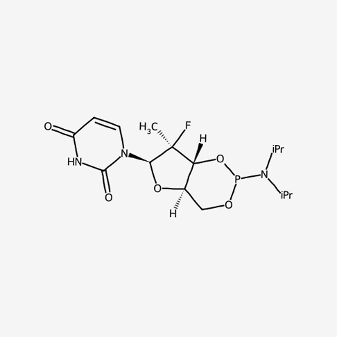 CC(C)N(C(C)C)P1OC[C@H]2O[C@@H](n3ccc(=O)[nH]c3=O)[C@@](C)(F)[C@@H]2O1